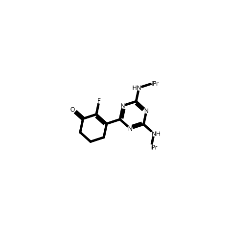 CC(C)Nc1nc(NC(C)C)nc(C2=C(F)C(=O)CCC2)n1